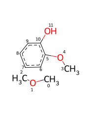 COC.COc1ccccc1O